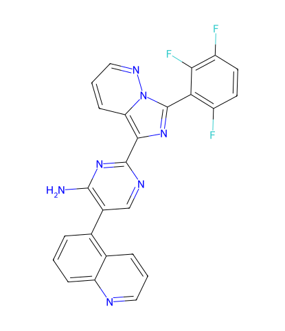 Nc1nc(-c2nc(-c3c(F)ccc(F)c3F)n3ncccc23)ncc1-c1cccc2ncccc12